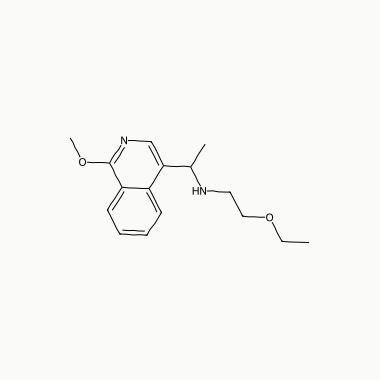 CCOCCNC(C)c1cnc(OC)c2ccccc12